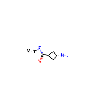 CNNC(=O)[C@H]1C[C@H](N)C1